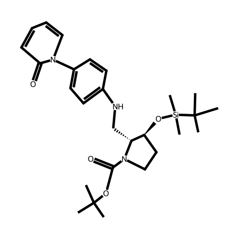 CC(C)(C)OC(=O)N1CC[C@H](O[Si](C)(C)C(C)(C)C)[C@H]1CNc1ccc(-n2ccccc2=O)cc1